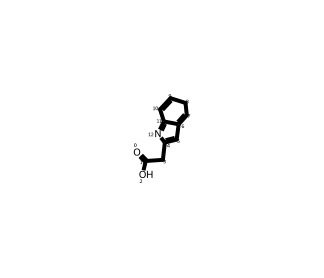 O=C(O)CC1=CC2=CCC=CC2=N1